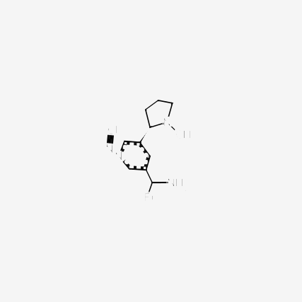 C#N.CCC(N)c1cncc([C@H]2CCCN2C)c1